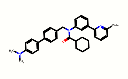 COc1cccc(-c2cccc(N(Cc3ccc(-c4ccc(N(C)C)cc4)cc3)C(=O)C3CCCCC3)c2)n1